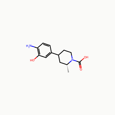 C[C@@H]1CC(c2ccc(N)c(O)c2)CCN1C(=O)O